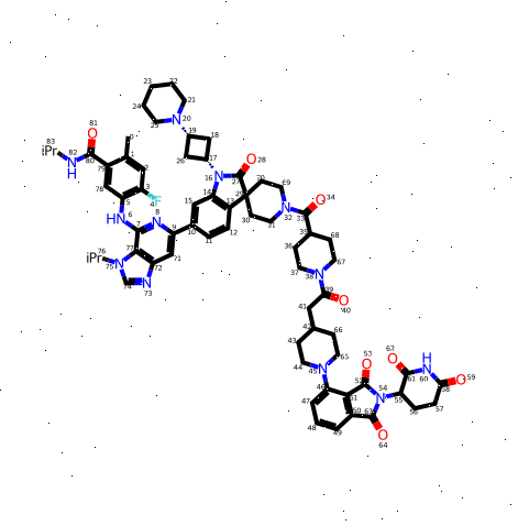 Cc1cc(F)c(Nc2nc(-c3ccc4c(c3)N([C@H]3C[C@@H](N5CCCCC5)C3)C(=O)C43CCN(C(=O)C4CCN(C(=O)CC5CCN(c6cccc7c6C(=O)N(C6CCC(=O)NC6=O)C7=O)CC5)CC4)CC3)cc3ncn(C(C)C)c23)cc1C(=O)NC(C)C